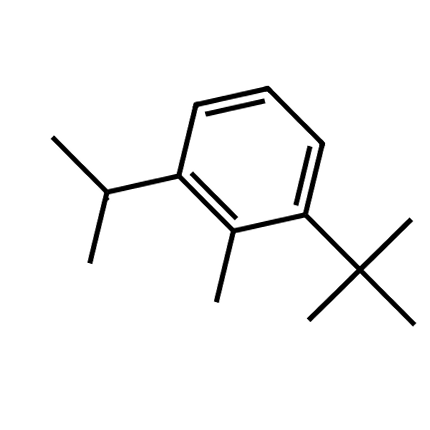 C[C](C)c1cccc(C(C)(C)C)c1C